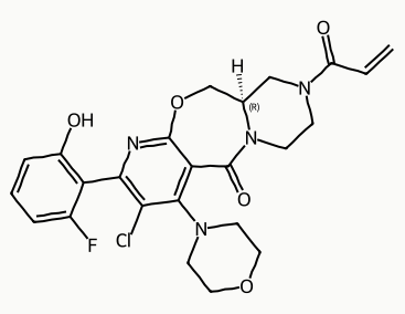 C=CC(=O)N1CCN2C(=O)c3c(nc(-c4c(O)cccc4F)c(Cl)c3N3CCOCC3)OC[C@H]2C1